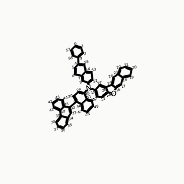 c1ccc(-c2ccc3cc(N(c4ccc5oc6cc7ccccc7cc6c5c4)c4ccc(-c5cc6ccccc6c6ccccc56)c5ccccc45)ccc3c2)cc1